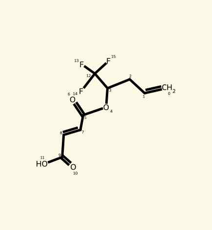 C=CCC(OC(=O)C=CC(=O)O)C(F)(F)F